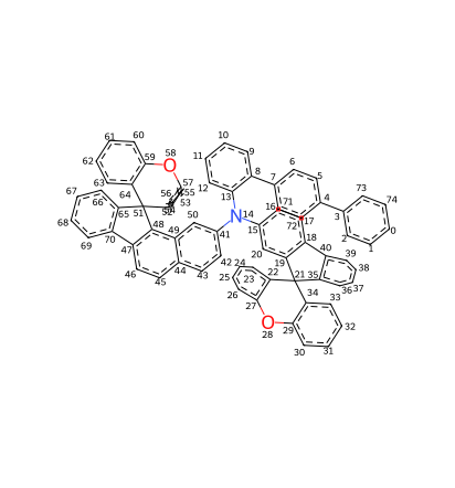 c1ccc(-c2ccc(-c3ccccc3N(c3ccc4c(c3)C3(c5ccccc5Oc5ccccc53)c3ccccc3-4)c3ccc4ccc5c(c4c3)C3(c4ccccc4Oc4ccccc43)c3ccccc3-5)cc2)cc1